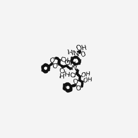 O=C(O)NC1CCC(N(C[C@H](O)[C@@H](O)[C@@H]2OC(c3ccccc3)OC[C@H]2O)C[C@H](O)[C@@H](O)C2OC(c3ccccc3)OC[C@H]2O)CC1